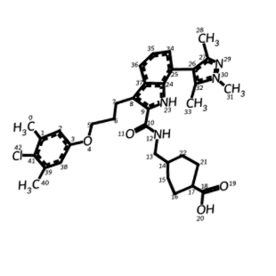 Cc1cc(OCCCc2c(C(=O)NCC3CCC(C(=O)O)CC3)[nH]c3c(-c4c(C)nn(C)c4C)cccc23)cc(C)c1Cl